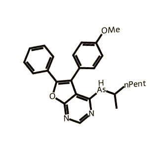 CCCCCC(C)[AsH]c1ncnc2oc(-c3ccccc3)c(-c3ccc(OC)cc3)c12